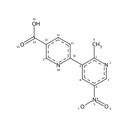 Cc1ncc([N+](=O)[O-])cc1-c1ccc(C(=O)O)cn1